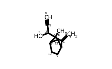 C#CC(O)C1(C)C(=C)C2CCC1C2